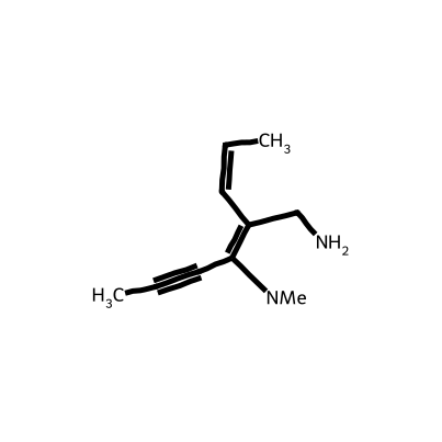 CC#C/C(NC)=C(\C=C/C)CN